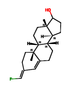 C[C@]12CCC(=CF)C=C1CC[C@@H]1[C@H]2CC[C@]2(C)C(O)CC[C@@H]12